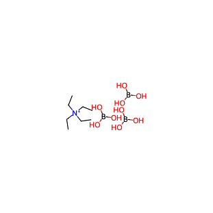 CC[N+](CC)(CC)CC.OB(O)O.OB(O)O.OB(O)O